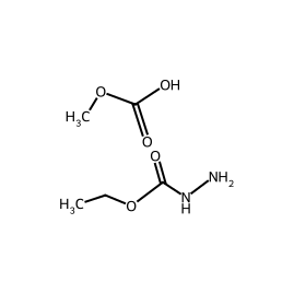 CCOC(=O)NN.COC(=O)O